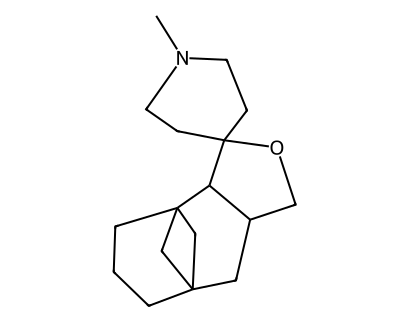 CN1CCC2(CC1)OCC1CC34CCCC(C3)(C4)C12